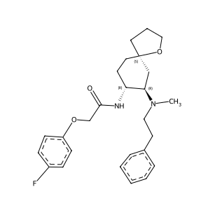 CN(CCc1ccccc1)[C@@H]1C[C@@]2(CCCO2)CC[C@H]1NC(=O)COc1ccc(F)cc1